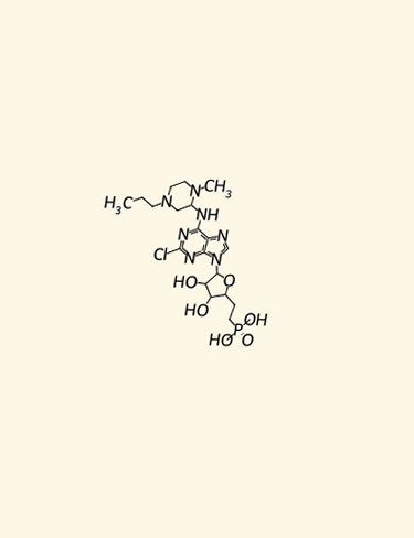 CCCN1CCN(C)C(Nc2nc(Cl)nc3c2ncn3C2OC(CCP(=O)(O)O)C(O)C2O)C1